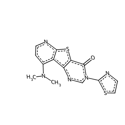 CN(C)c1ccnc2sc3c(=O)n(-c4nccs4)cnc3c12